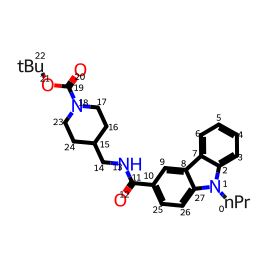 CCCn1c2ccccc2c2cc(C(=O)NCC3CCN(C(=O)OC(C)(C)C)CC3)ccc21